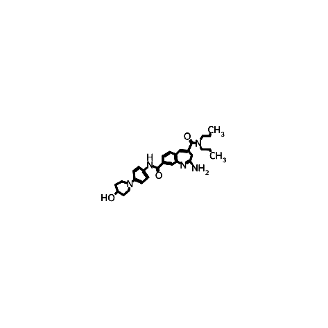 CCCN(CCC)C(=O)C1=Cc2ccc(C(=O)Nc3ccc(N4CCC(O)CC4)cc3)cc2N=C(N)C1